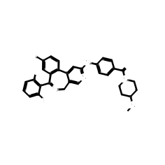 CNC1CCN(C(=O)c2ccc(Nc3cc4c(cn3)CN=C(c3c(F)cccc3F)c3cc(Cl)ccc3-4)cc2)CC1